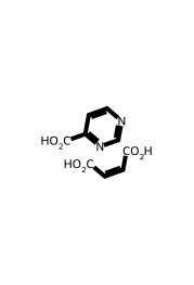 O=C(O)/C=C\C(=O)O.O=C(O)c1ccncn1